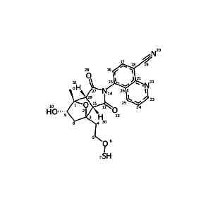 C[C@@]12OC(CCOS)(C[C@@H]1O)[C@H]1C(=O)N(c3ccc(C#N)c4ncccc34)C(=O)[C@H]12